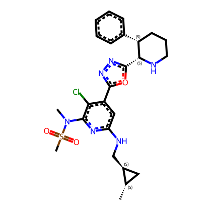 C[C@H]1C[C@@H]1CNc1cc(-c2nnc([C@H]3NCCC[C@H]3c3ccccc3)o2)c(Cl)c(N(C)S(C)(=O)=O)n1